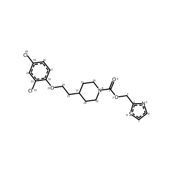 O=C(OCc1nccs1)N1CCC(CCOc2ccc(Cl)cc2Cl)CC1